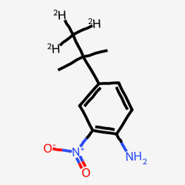 [2H]C([2H])([2H])C(C)(C)c1ccc(N)c([N+](=O)[O-])c1